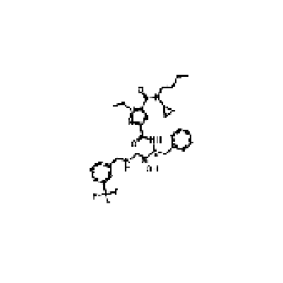 CCCCN(C(=O)c1cc(C(=O)N[C@@H](Cc2ccccc2)[C@H](O)CNCc2cccc(C(F)(F)F)c2)nn1CC)C1CC1